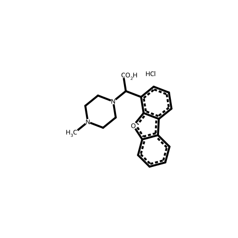 CN1CCN(C(C(=O)O)c2cccc3c2oc2ccccc23)CC1.Cl